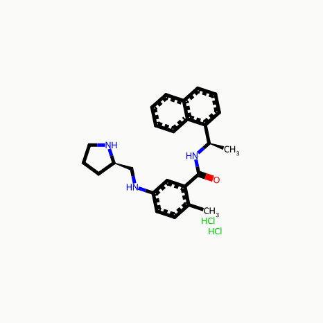 Cc1ccc(NC[C@H]2CCCN2)cc1C(=O)N[C@H](C)c1cccc2ccccc12.Cl.Cl